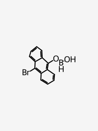 OBOc1c2ccccc2c(Br)c2ccccc12